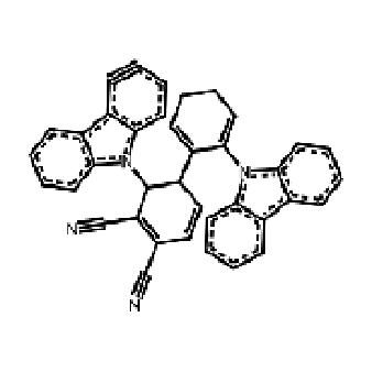 N#CC1=C(C#N)C(n2c3ccc#cc3c3ccccc32)C(C2=CCCC=C2n2c3ccccc3c3ccccc32)C=C1